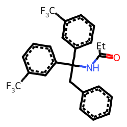 CCC(=O)NC(Cc1ccccc1)(c1cccc(C(F)(F)F)c1)c1cccc(C(F)(F)F)c1